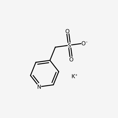 O=S(=O)([O-])Cc1ccncc1.[K+]